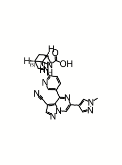 Cn1cc(-c2cn3ncc(C#N)c3c(-c3ccc(N4C[C@H]5C[C@@H](C4)[C@H]5NC(=O)O)nc3)n2)cn1